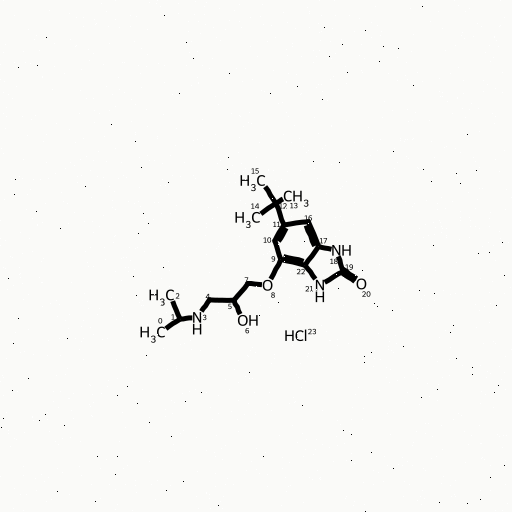 CC(C)NCC(O)COc1cc(C(C)(C)C)cc2[nH]c(=O)[nH]c12.Cl